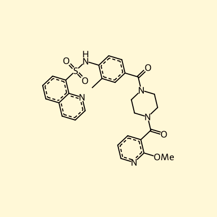 COc1ncccc1C(=O)N1CCN(C(=O)c2ccc(NS(=O)(=O)c3cccc4cccnc34)c(C)c2)CC1